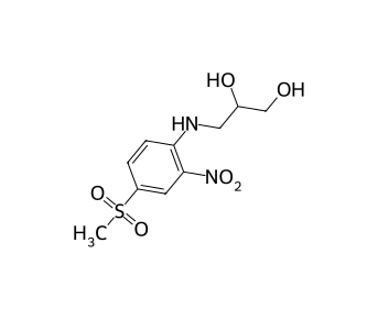 CS(=O)(=O)c1ccc(NCC(O)CO)c([N+](=O)[O-])c1